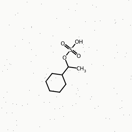 CC(OS(=O)(=O)O)C1CCCCC1